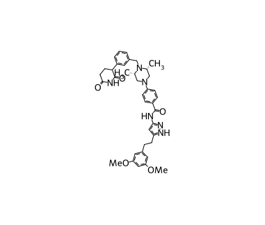 COc1cc(CCc2cc(NC(=O)c3ccc(N4C[C@@H](C)N(Cc5cccc(C6CCC(=O)NC6=O)c5)[C@@H](C)C4)cc3)n[nH]2)cc(OC)c1